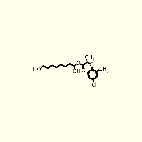 Cc1cc(Cl)ccc1O[C@H](C)C(=O)OC(O)CCCCCCCO